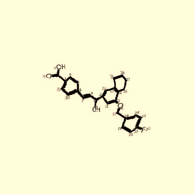 O=C(O)c1ccc(/C=C/C(O)c2cc3c(c(OCc4ccc(F)cc4)c2)CCCC3)cc1